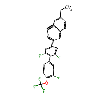 CCc1ccc2cc(-c3cc(F)c(-c4ccc(OC(F)(F)F)c(F)c4)c(F)c3)ccc2c1